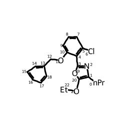 CCCc1nc(-c2c(Cl)cccc2OCc2ccccc2)oc1OCC